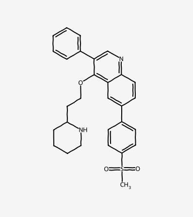 CS(=O)(=O)c1ccc(-c2ccc3ncc(-c4ccccc4)c(OCCC4CCCCN4)c3c2)cc1